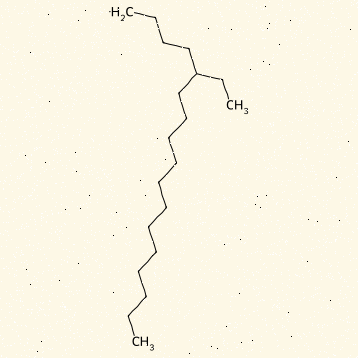 [CH2]CCCC(CC)CCCCCCCCCCCC